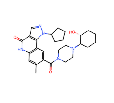 Cc1cc2[nH]c(=O)c3cnn(C4CCCC4)c3c2cc1C(=O)N1CCN([C@@H]2CCCC[C@H]2O)CC1